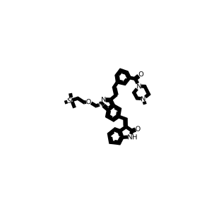 CN1CCN(C(=O)c2cccc(/C=C/c3nn(COCC[Si](C)(C)C)c4ccc(/C=C5/C(=O)Nc6ccccc65)cc34)c2)CC1